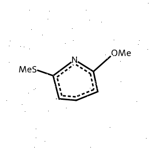 COc1cc[c]c(SC)n1